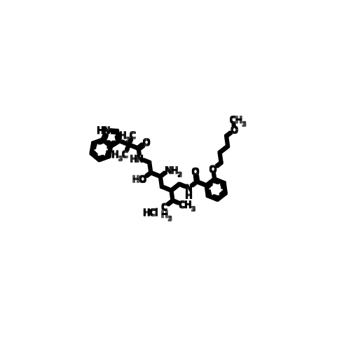 COCCCCOc1ccccc1C(=O)NCC(CC(N)C(O)CNC(=O)C(C)(C)c1c[nH]c2ccccc12)C(C)C.Cl